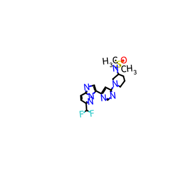 CS(C)(=O)=NC1CCCN(c2cc(-c3cnc4ccc(C(F)F)nn34)ncn2)C1